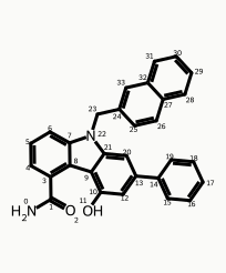 NC(=O)c1cccc2c1c1c(O)cc(-c3ccccc3)cc1n2Cc1ccc2ccccc2c1